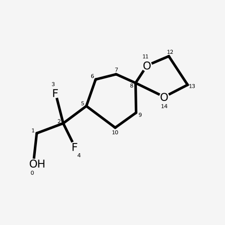 OCC(F)(F)C1CCC2(CC1)OCCO2